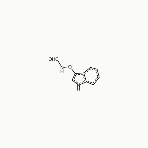 O=CNOc1c[nH]c2ccccc12